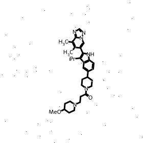 COC1CCN(CCC(=O)N2CCC(c3ccc4[nH]c(-c5cn6ncnc6c(C)c5C)c(C(C)C)c4c3)CC2)CC1